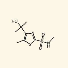 CNS(=O)(=O)c1nc(C(C)(C)O)c(C)s1